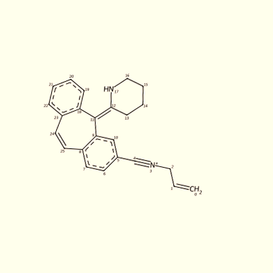 C=CC[N+]#Cc1ccc2c(c1)C(=C1CCCCN1)c1ccccc1C=C2